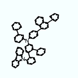 c1ccc(-c2cccc(N(c3ccc(-c4ccc(-c5ccccc5)c5ccccc45)cc3)c3ccc(-c4ccccc4-n4c5ccccc5c5ccccc54)c(-c4ccccc4)c3)c2)cc1